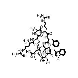 C[C@@H](NC(=O)[C@H](CS)NC(=O)[C@@H](N)CCCNC(=N)N)C(=O)N[C@H](CCCNC(=N)N)C(=O)N[C@H](Cc1ccccc1)C(=O)N[C@@H](CC(Br)CNC(=N)N)C(=O)N[C@H](Cc1c[nH]c2ccccc12)C(=O)N[C@@H](CS)C(=O)O